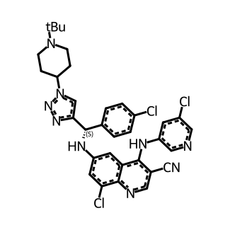 CC(C)(C)N1CCC(n2cc([C@@H](Nc3cc(Cl)c4ncc(C#N)c(Nc5cncc(Cl)c5)c4c3)c3ccc(Cl)cc3)nn2)CC1